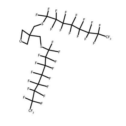 FC(F)(F)C(F)(F)C(F)(F)C(F)(F)C(F)(F)C(F)(F)C(F)(F)C(F)(F)SCC1(CSC(F)(F)C(F)(F)C(F)(F)C(F)(F)C(F)(F)C(F)(F)C(F)(F)C(F)(F)F)COC1